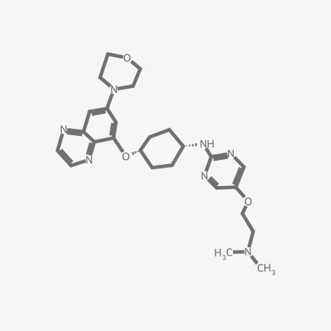 CN(C)CCOc1cnc(N[C@H]2CC[C@@H](Oc3cc(N4CCOCC4)cc4nccnc34)CC2)nc1